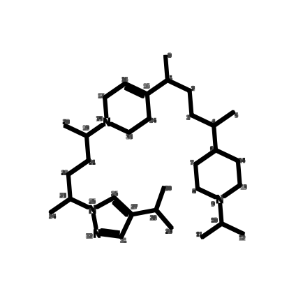 CC(CCC(C)C1CCN(C(C)C)CC1)C1=CCN(C(C)CCC(C)n2cc(C(C)C)cn2)CC1